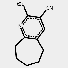 CC(C)(C)c1nc2c(cc1C#N)CCCCC2